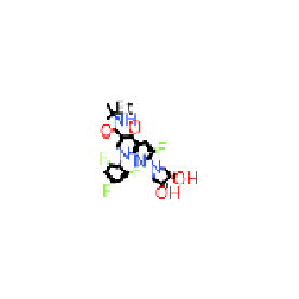 CCC(C)(C)NC(=O)c1cn(-c2c(F)cc(F)cc2F)c2nc(N3C[C@@H](O)[C@H](O)C3)c(F)cc2c1=O